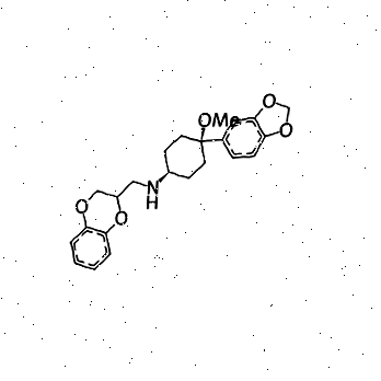 CO[C@]1(c2ccc3c(c2)OCO3)CC[C@H](NCC2COc3ccccc3O2)CC1